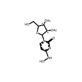 CC(=O)O[C@@H]1C(CO)OC(n2ccc(NO)nc2=O)[C@@H]1OC(C)=O